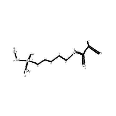 C=C(C)C(=O)OCCCCC[Si](C)(CCC)OCC